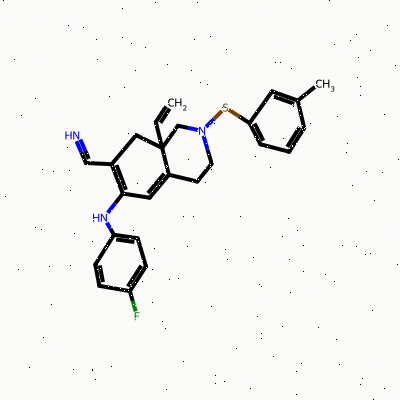 C=CC12CC(C=N)=C(Nc3ccc(F)cc3)C=C1CCN(Sc1cccc(C)c1)C2